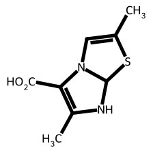 CC1=CN2C(C(=O)O)=C(C)NC2S1